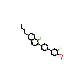 C=CCCc1ccc2c(F)c(-c3ccc(-c4ccc(OC)c(F)c4)cc3)ccc2c1